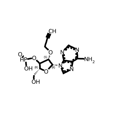 C#CCO[C@H]1C(O[PH](=O)O)[C@@H](CO)O[C@H]1n1cnc2c(N)ncnc21